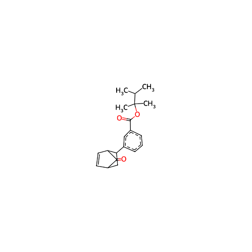 CC(C)C(C)(C)OC(=O)c1cccc(C2CC3C=CC2C3=O)c1